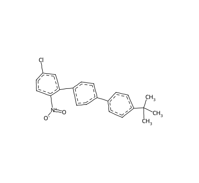 CC(C)(C)c1ccc(-c2ccc(-c3cc(Cl)ccc3[N+](=O)[O-])cc2)cc1